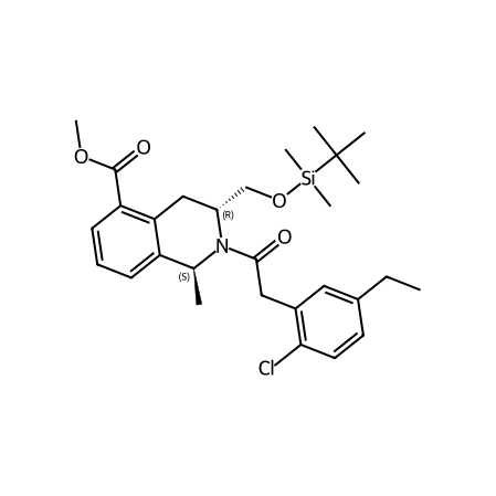 CCc1ccc(Cl)c(CC(=O)N2[C@@H](CO[Si](C)(C)C(C)(C)C)Cc3c(C(=O)OC)cccc3[C@@H]2C)c1